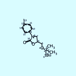 CC(C)(C)[Si](C)(C)OCC1CN(c2ccc(I)cc2)C(=O)O1